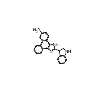 Nc1ccc2c(c1)c1ccccc1c1nc(C3CNc4ccccc43)[nH]c21